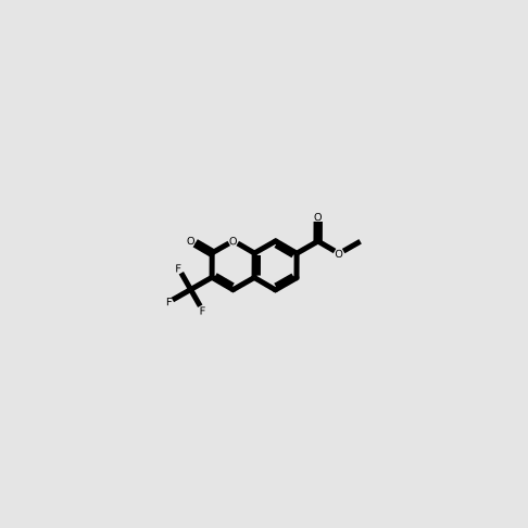 COC(=O)c1ccc2cc(C(F)(F)F)c(=O)oc2c1